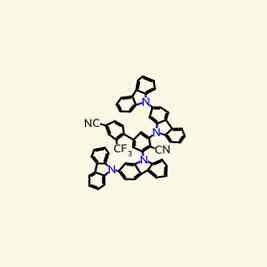 N#Cc1ccc(-c2cc(-n3c4ccccc4c4ccc(-n5c6ccccc6c6ccccc65)cc43)c(C#N)c(-n3c4ccccc4c4ccc(-n5c6ccccc6c6ccccc65)cc43)c2)c(C(F)(F)F)c1